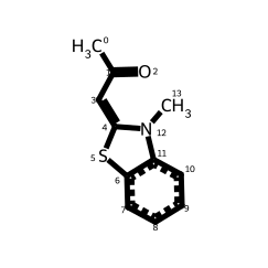 CC(=O)C=C1Sc2ccccc2N1C